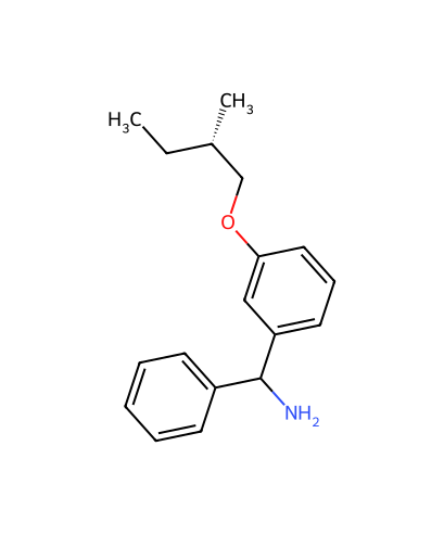 CC[C@H](C)COc1cccc(C(N)c2ccccc2)c1